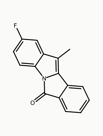 Cc1c2n(c3ccc(F)cc13)C(=O)c1ccccc1-2